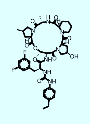 CCc1ccc(NC(=O)N[C@@H](Cc2cc(F)cc(F)c2)C(=O)N[C@@H]2C(=O)N3C[C@H](O)C[C@H]3C(=O)N3CCCC[C@H]3C(=O)N[C@@H](C)C(=O)N3C[C@H](C)C[C@H]3C(=O)O[C@H]2C)cc1